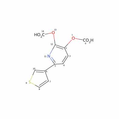 O=C(O)Oc1ccc(-c2ccsc2)nc1OC(=O)O